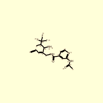 C=C/C=C(/CNC(=O)c1ccnc(NC(C)=O)c1)C(N)C(C)C(F)(F)F